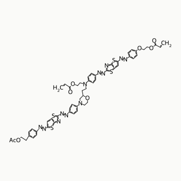 C=CC(=O)OCCOc1ccc(N=Nc2cc3sc(N=Nc4ccc(N(CCOC(=O)C=C)CCC5CN(c6ccc(N=Nc7nc8sc(N=Nc9ccc(CCOC(C)=O)cc9)cc8s7)cc6)CCO5)cc4)nc3s2)cc1